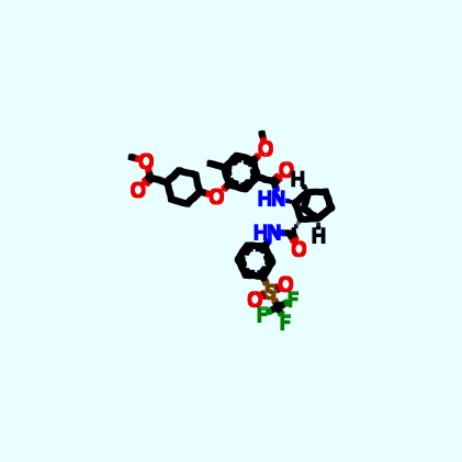 COC(=O)C1CCC(Oc2cc(C(=O)N[C@@H]3[C@H]4CC[C@H](C4)[C@@H]3C(=O)Nc3cccc(S(=O)(=O)C(F)(F)F)c3)c(OC)cc2C)CC1